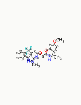 COc1ccc(C(C)NC(=O)COc2cc(C(F)(F)F)c3c(-c4ccccc4)nn(C)c3n2)cc1